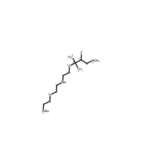 CNCCOCCNCCOC(C)(C)C(F)CNC(C)=O